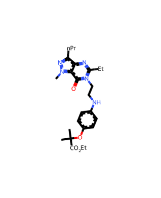 CCCc1nn(C)c2c(=O)n(CCNc3ccc(OC(C)(C)C(=O)OCC)cc3)c(CC)nc12